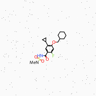 CNS(=O)(=O)NC(=O)c1cc(C2CC2)c(OCC2CCCCC2)cc1F